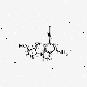 CC#Cc1nc(N)c2ncn([C@@H]3SC[C@@H](O)[C@H]3O)c2n1